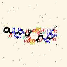 CC(C)C(=O)Nc1nc2c(ncn2[C@@H]2O[C@@H]3CO[PH](O)(S)O[C@H]4[C@@H](F)[C@H](n5cnc6c(NC(=O)c7ccccc7)ncnc65)O[C@@H]4CO[PH](O)(S)O[C@H]3[C@H]2F)c(=O)[nH]1